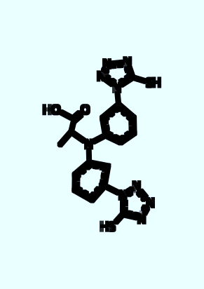 CC(C(=O)O)N(c1cccc(-n2nnnc2S)c1)c1cccc(-n2nnnc2S)c1